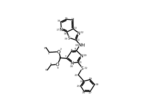 CCOC(OCC)c1cc(Nc2nc3cccnc3s2)nc(SCc2ccccc2)n1